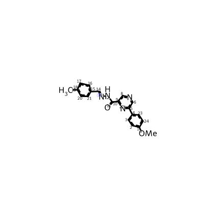 COc1ccc(-c2cncc(C(=O)N/N=C/c3ccc(C)cc3)n2)cc1